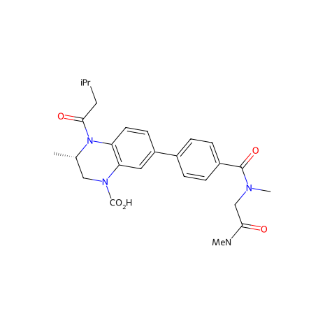 CNC(=O)CN(C)C(=O)c1ccc(-c2ccc3c(c2)N(C(=O)O)C[C@H](C)N3C(=O)CC(C)C)cc1